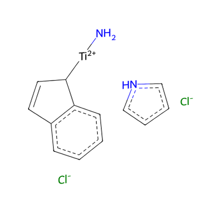 [Cl-].[Cl-].[NH2][Ti+2][CH]1C=Cc2ccccc21.c1cc[nH]c1